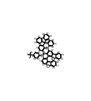 CC(C)(C)c1ccc(N2B3c4cccc5c4N(c4ccccc4C5(c4ccccc4)c4ccccc4)c4cc5c(oc6ccccc65)c(c43)-c3c2ccc2oc4ccccc4c32)cc1